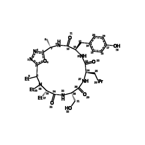 CCC1c2nnc(o2)[C@H](C)NC(=O)[C@@H](Cc2ccc(O)cc2)NC(=O)[C@@H](CC(C)C)NC(=O)[C@H](CO)NC(=O)[C@H](CC)N1CC